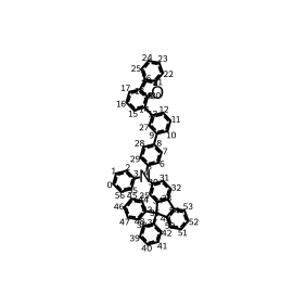 c1ccc(N(c2ccc(-c3cccc(-c4cccc5c4oc4ccccc45)c3)cc2)c2ccc3c(c2)C(c2ccccc2)(c2ccccc2)c2ccccc2-3)cc1